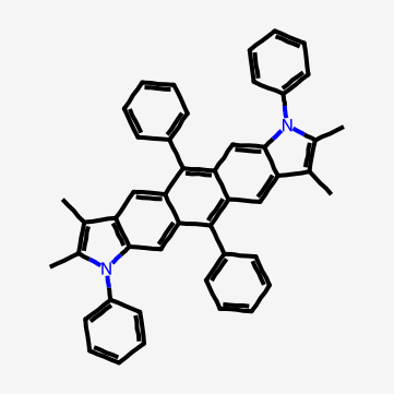 Cc1c(C)n(-c2ccccc2)c2cc3c(-c4ccccc4)c4cc5c(C)c(C)n(-c6ccccc6)c5cc4c(-c4ccccc4)c3cc12